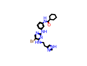 O=C(Nc1cccc(Nc2ncc(Br)c(NCCc3c[nH]cn3)n2)c1)C1CCCCC1